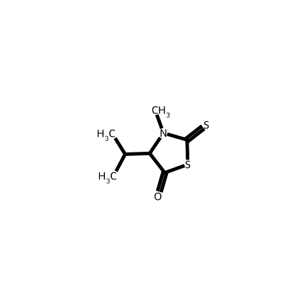 CC(C)C1C(=O)SC(=S)N1C